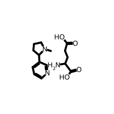 CN1CCCC1c1cccnc1.NC(CCC(=O)O)C(=O)O